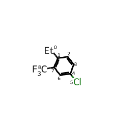 CCc1ccc(Cl)cc1C(F)(F)F